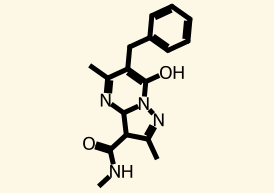 CNC(=O)C1C(C)=NN2C(O)=C(Cc3ccccc3)C(C)=NC12